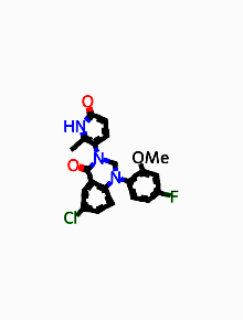 COc1cc(F)ccc1N1CN(c2ccc(=O)[nH]c2C)C(=O)c2cc(Cl)ccc21